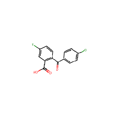 O=C(O)c1cc(F)ccc1C(=O)c1ccc(Cl)cc1